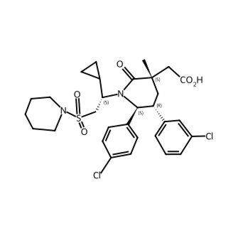 C[C@@]1(CC(=O)O)C[C@H](c2cccc(Cl)c2)[C@@H](c2ccc(Cl)cc2)N([C@H](CS(=O)(=O)N2CCCCC2)C2CC2)C1=O